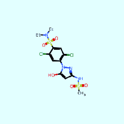 CCN(CC)S(=O)(=O)c1cc(Cl)c(-n2nc(NS(C)(=O)=O)cc2O)cc1Cl